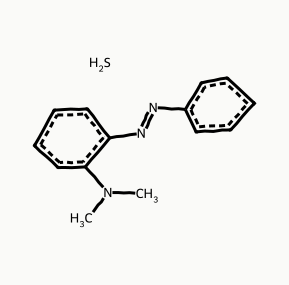 CN(C)c1ccccc1N=Nc1ccccc1.S